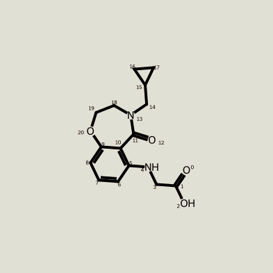 O=C(O)CNc1cccc2c1C(=O)N(CC1CC1)CCO2